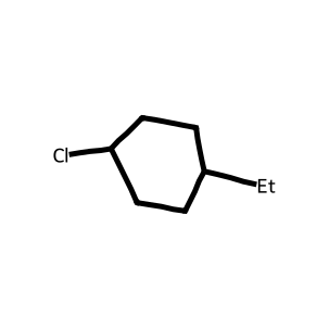 [CH2]CC1CCC(Cl)CC1